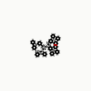 c1ccc([Si](c2ccccc2)(c2ccccc2)c2ccc3nc4n(-c5nc(-c6cccc(-n7c8ccccc8c8ccccc87)c6)nc(N6c7ccccc7N7c8ccccc8NC67)n5)c5ccc([Si](c6ccccc6)(c6ccccc6)c6ccccc6)cc5n4c3c2)cc1